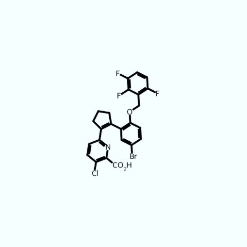 O=C(O)c1nc(C2=C(c3cc(Br)ccc3OCc3c(F)ccc(F)c3F)CCC2)ccc1Cl